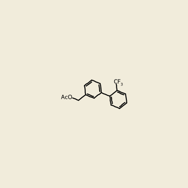 CC(=O)OCc1cccc(-c2ccccc2C(F)(F)F)c1